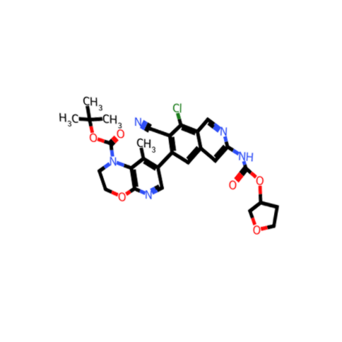 Cc1c(-c2cc3cc(NC(=O)OC4CCOC4)ncc3c(Cl)c2C#N)cnc2c1N(C(=O)OC(C)(C)C)CCO2